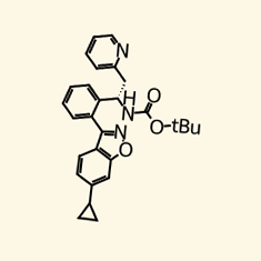 CC(C)(C)OC(=O)N[C@@H](Cc1ccccn1)c1ccccc1-c1noc2cc(C3CC3)ccc12